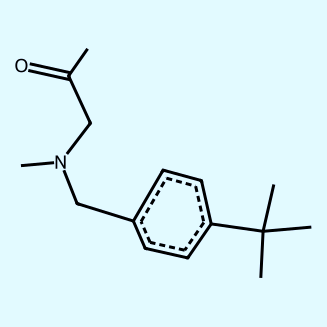 CC(=O)CN(C)Cc1ccc(C(C)(C)C)cc1